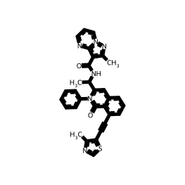 Cc1ncsc1C#Cc1cccc2cc(C(C)NC(=O)c3c(C)nn4cccnc34)n(-c3ccccc3)c(=O)c12